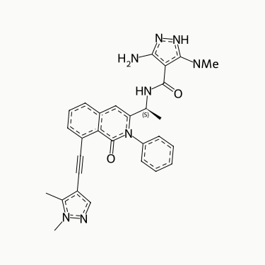 CNc1[nH]nc(N)c1C(=O)N[C@@H](C)c1cc2cccc(C#Cc3cnn(C)c3C)c2c(=O)n1-c1ccccc1